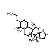 CCOC(=O)CC[C@H]1CC=C2[C@@](C)(CC[C@H]3C(C)(C)C4(CC[C@]23C)OCCO4)C1=O